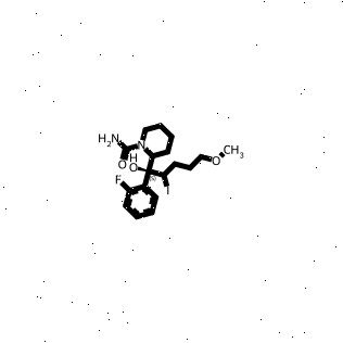 COCCCC(I)[C@](O)(c1ccccc1F)C1CCCCN1C(N)=O